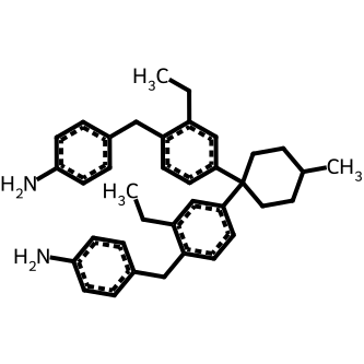 CCc1cc(C2(c3ccc(Cc4ccc(N)cc4)c(CC)c3)CCC(C)CC2)ccc1Cc1ccc(N)cc1